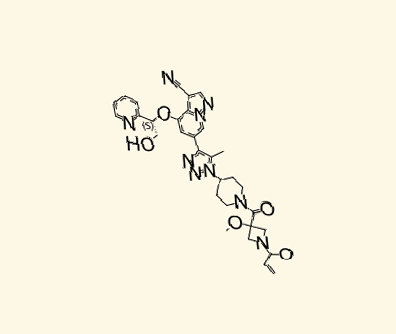 C=CC(=O)N1CC(OC)(C(=O)N2CCC(n3nnc(-c4cc(O[C@H](CO)c5ccccn5)c5c(C#N)cnn5c4)c3C)CC2)C1